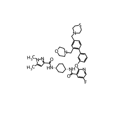 Cc1cc(C(=O)N[C@H]2CC[C@@H](NC(=O)c3cc(F)cnc3Oc3cccc(-c4ccc(CN5CCSCC5)cc4CN4CCOCC4)c3)CC2)nn1C